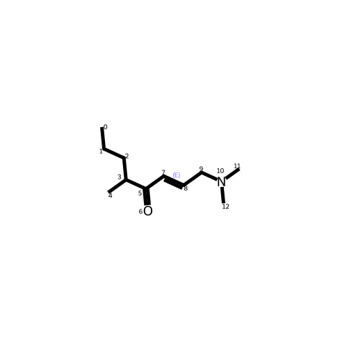 CCCC(C)C(=O)/C=C/CN(C)C